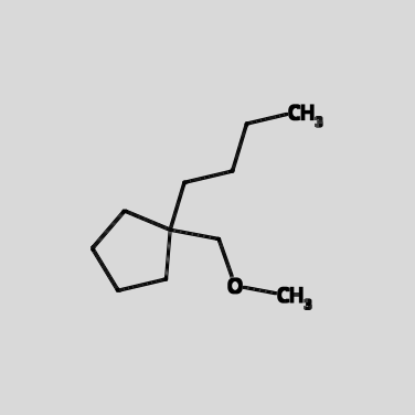 CCCCC1(COC)CCCC1